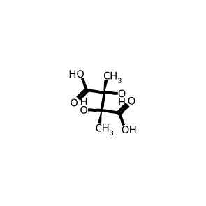 C[C@](O)(C(=O)O)[C@@](C)(O)C(=O)O